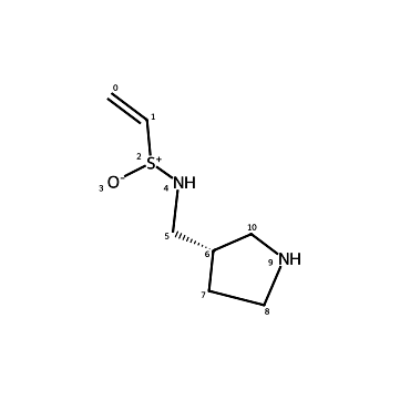 C=C[S+]([O-])NC[C@H]1CCNC1